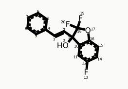 OC1(C=Cc2ccccc2)c2cc(F)ccc2OC1(F)F